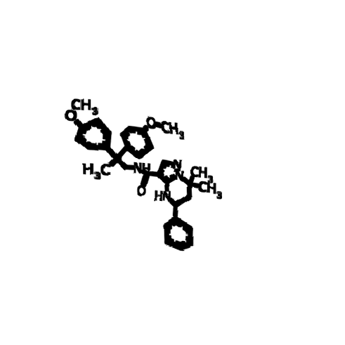 COc1ccc(C(C)(CNC(=O)c2cnn3c2NC(c2ccccc2)CC3(C)C)c2ccc(OC)cc2)cc1